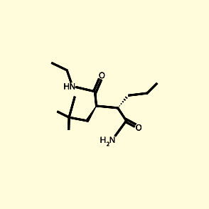 CCC[C@H](C(N)=O)[C@@H](CC(C)(C)C)C(=O)NCC